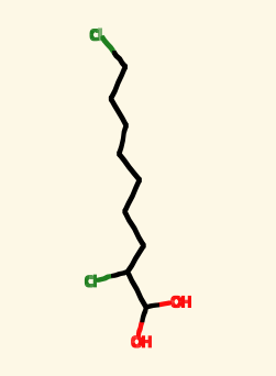 OC(O)C(Cl)CCCCCCCCl